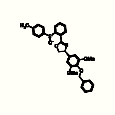 COc1cc([C@H]2COC(c3ccccc3[S+]([O-])c3ccc(C)cc3)=N2)cc(OC)c1OCc1ccccc1